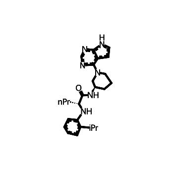 CCC[C@@H](Nc1ccccc1C(C)C)C(=O)N[C@@H]1CCCN(c2ncnc3[nH]ccc23)C1